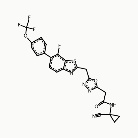 N#CC1(NC(=O)Cc2nnc(Cc3nc4ccc(-c5ccc(OC(F)(F)F)cc5)c(F)c4s3)o2)CC1